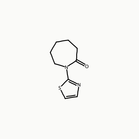 O=C1CCCCCN1c1nccs1